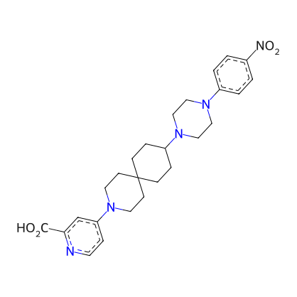 O=C(O)c1cc(N2CCC3(CCC(N4CCN(c5ccc([N+](=O)[O-])cc5)CC4)CC3)CC2)ccn1